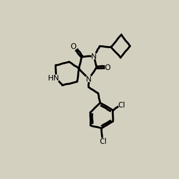 O=C1N(CC2CCC2)C(=O)C2(CCNCC2)N1CCc1ccc(Cl)cc1Cl